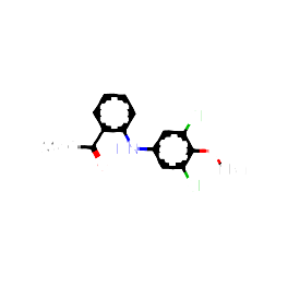 CCCCOc1c(Cl)cc(Nc2ccccc2C(=O)OC)cc1Cl